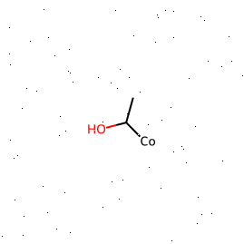 C[CH](O)[Co]